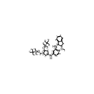 CO[C@H]1Cc2ccccc2[C@H]1Nc1cc(N[C@@H]2C[C@@H](CO[Si](C)(C)C(C)(C)C)[C@@H](O[Si](C)(C)C(C)(C)C)C2)ncn1